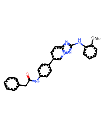 COc1ccccc1Nc1nc2ccc(-c3ccc(NC(=O)Cc4ccccc4)cc3)cn2n1